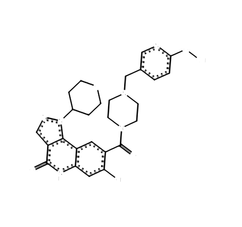 COc1ccc(CN2CCN(C(=O)c3cc4c(cc3C)[nH]c(=O)c3cnn(C5CCOCC5)c34)CC2)cn1